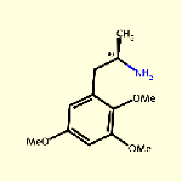 COc1cc(C[C@@H](C)N)c(OC)c(OC)c1